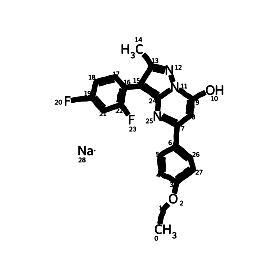 CCOc1ccc(-c2cc(O)n3nc(C)c(-c4ccc(F)cc4F)c3n2)cc1.[Na]